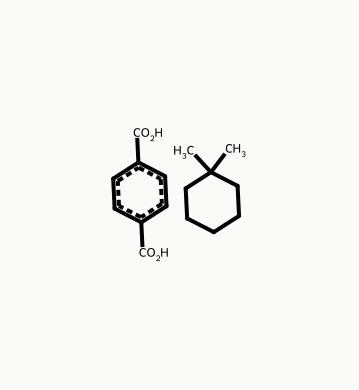 CC1(C)CCCCC1.O=C(O)c1ccc(C(=O)O)cc1